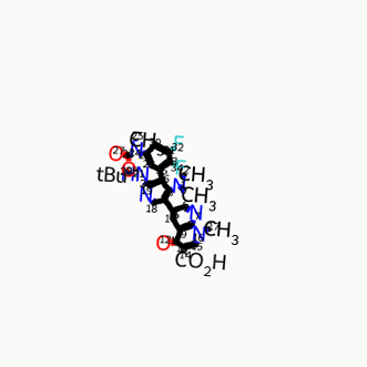 CN(C)c1c(-c2cnc3c(c2)c(=O)c(C(=O)O)cn3C)cnc2[nH]c3c(N(C)C(=O)OC(C)(C)C)cc(F)c(F)c3c12